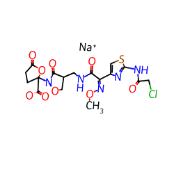 CON=C(C(=O)NCC1CON(C2(C(=O)[O-])CCC(=O)O2)C1=O)c1csc(NC(=O)CCl)n1.[Na+]